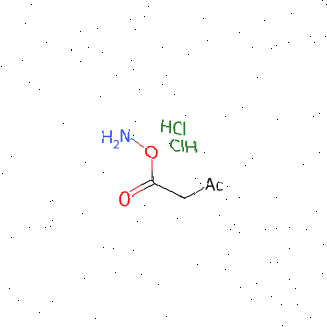 CC(=O)CC(=O)ON.Cl.Cl